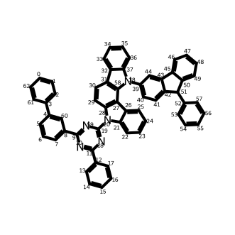 c1ccc(-c2cccc(-c3nc(-c4ccccc4)nc(-n4c5ccccc5c5c4ccc4c6ccccc6n(-c6ccc7c(c6)-c6ccccc6C7c6ccccc6)c45)n3)c2)cc1